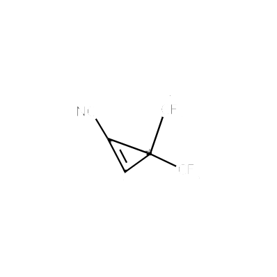 N#CC1=CC1(C(F)(F)F)C(F)(F)F